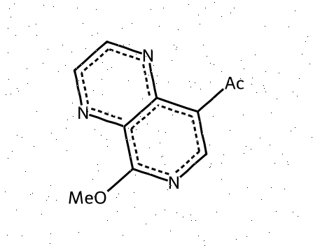 COc1ncc(C(C)=O)c2nccnc12